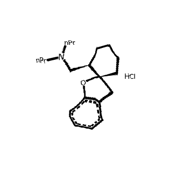 CCCN(CCC)C[C@H]1CCCC[C@]12Cc1ccccc1O2.Cl